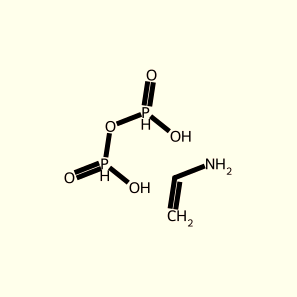 C=CN.O=[PH](O)O[PH](=O)O